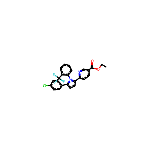 CCOC(=O)c1ccc(-c2ccc(-c3ccc(Cl)cc3)n2-c2ccccc2C(F)(F)F)nc1